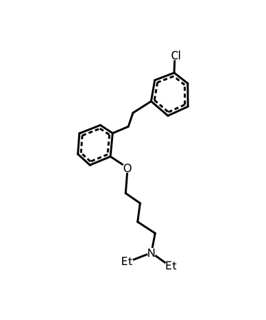 CCN(CC)CCCCOc1ccccc1CCc1cccc(Cl)c1